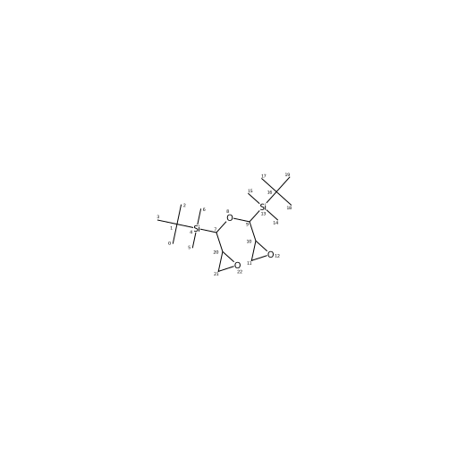 CC(C)(C)[Si](C)(C)C(OC(C1CO1)[Si](C)(C)C(C)(C)C)C1CO1